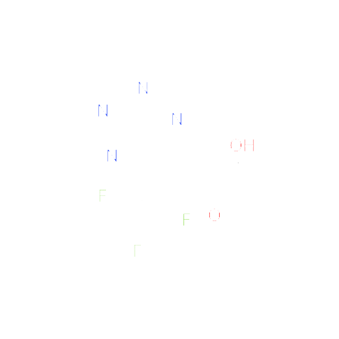 O=C(O)C1(C(F)(F)F)N=NN=N1